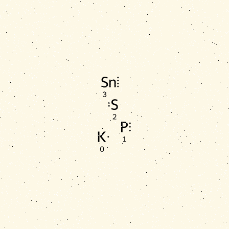 [K].[P].[S].[Sn]